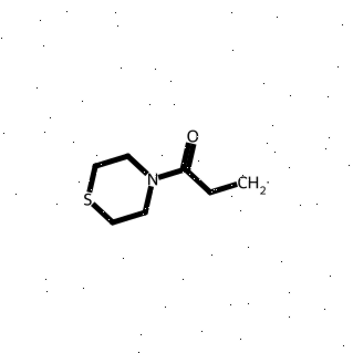 [CH2]CC(=O)N1CCSCC1